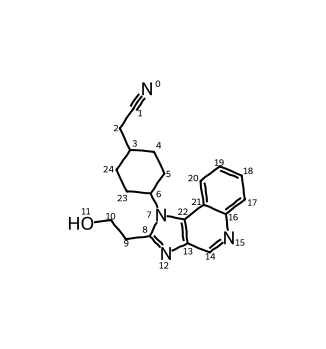 N#CCC1CCC(n2c(CCO)nc3cnc4ccccc4c32)CC1